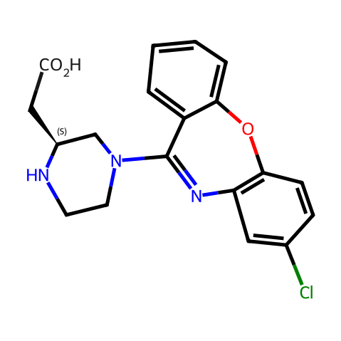 O=C(O)C[C@H]1CN(C2=Nc3cc(Cl)ccc3Oc3ccccc32)CCN1